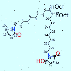 CCCCCCCCC(CCCCCCCCCN1C(=O)C=CC1C)C(CCCCCCCC)CCCCCCCCCN1C(=O)C=CC1O